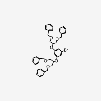 Brc1cc(OC(COCc2ccccc2)COCc2ccccc2)cc(OC(COCc2ccccc2)COCc2ccccc2)c1